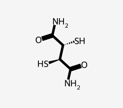 NC(=O)[C@@H](S)[C@@H](S)C(N)=O